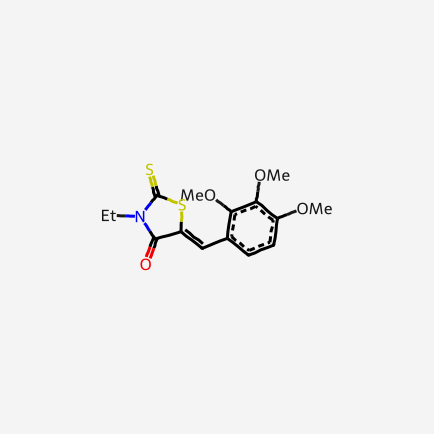 CCN1C(=O)C(=Cc2ccc(OC)c(OC)c2OC)SC1=S